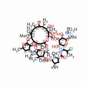 CCC[C@@H]1C[C@@H](C(=O)NC(C(C)Cl)[C@H]2O[C@H](SC)[C@H](O)[C@@H](O)[C@H]2O)N(C)C1.CC[C@H]1OC(=O)[C@H](C)[C@@H](O[C@H]2C[C@@](C)(OC)[C@@H](O)[C@H](C)O2)[C@H](C)[C@@H](O[C@@H]2O[C@H](C)C[C@H](N(C)C)[C@H]2O)[C@](C)(OC)C[C@@H](C)C(=O)[C@H](C)[C@@H](O)[C@]1(C)O.NS(=O)(=O)O